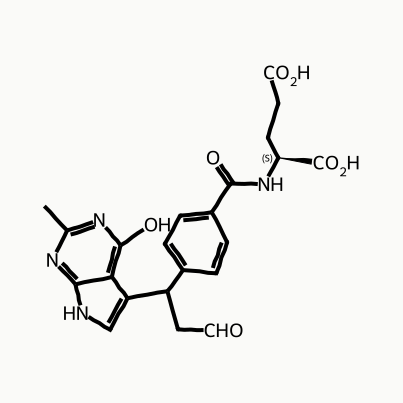 Cc1nc(O)c2c(C(CC=O)c3ccc(C(=O)N[C@@H](CCC(=O)O)C(=O)O)cc3)c[nH]c2n1